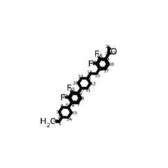 C=CC1CCC(c2ccc(C3CCC(CCc4ccc(C5CO5)c(F)c4F)CC3)c(F)c2F)CC1